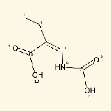 CCC(=CNC(=O)O)C(=O)O